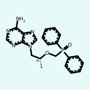 C[C@H](Cn1cnc2c(N)ncnc21)OCP(=O)(c1ccccc1)c1ccccc1